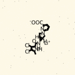 Cc1[nH]c(C(=O)N[C@@H]2[C@@H]3CN(c4cccc(C(=O)[O-])n4)C[C@@H]32)c(Cl)c1Cl.[Li+]